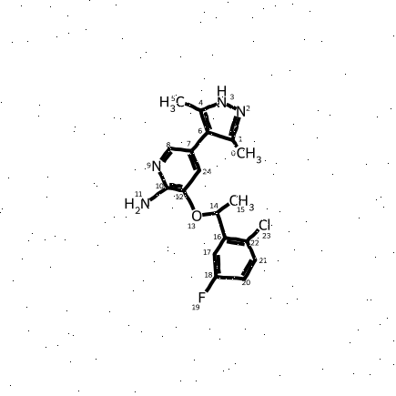 Cc1n[nH]c(C)c1-c1cnc(N)c(OC(C)c2cc(F)ccc2Cl)c1